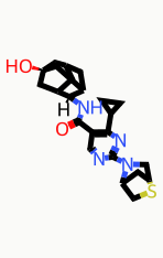 O=C(N[C@H]1C2CC3CC1C[C@@](O)(C3)C2)c1cnc(N2CC3CC2CS3)nc1C1CC1